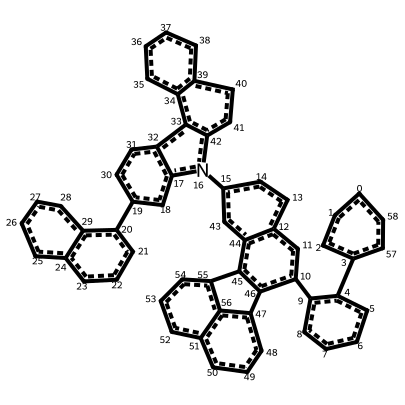 c1ccc(-c2ccccc2-c2cc3ccc(-n4c5cc(-c6cccc7ccccc67)ccc5c5c6ccccc6ccc54)cc3c3c2-c2cccc4cccc-3c24)cc1